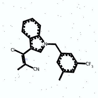 C/C(C#N)=C(\Cl)c1cn(Cc2cc(C)cc(C(F)(F)F)c2)c2ccccc12